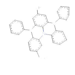 CCCCCCCCc1ccc2c(c1)N1c3ccccc3B(c3ccccc3)c3cc(C)cc(c31)B2c1ccccc1